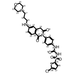 O=C(Nc1ccc(N2C(=O)Cc3cc(NCCCN4CCOCC4)ccc3C2=O)cc1)NS(=O)(=O)c1ccc(Cl)s1